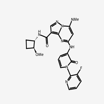 CNc1cc(Nc2cccn(-c3ncccc3F)c2=O)nc2c(C(=O)N[C@H]3CC[C@@H]3OC)cnn12